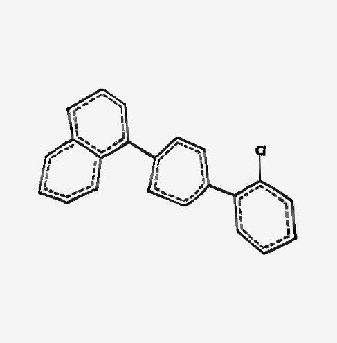 Clc1ccccc1-c1ccc(-c2cccc3ccccc23)cc1